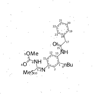 CCCCc1cc(N=C(NC(=O)OC)SC)ccc1NC(=O)Cc1ccccc1